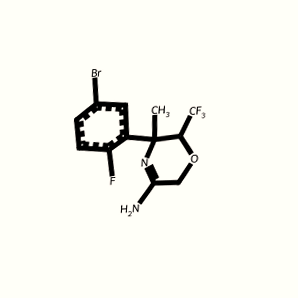 CC1(c2cc(Br)ccc2F)N=C(N)COC1C(F)(F)F